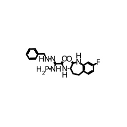 O=C(N[C@H]1CCc2ccc(F)cc2NC1=O)/C(=N/NCc1ccccc1)NP